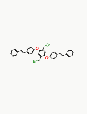 BrCc1cc(Oc2ccc(C=Cc3ccccc3)cc2)c(CBr)cc1Oc1ccc(C=Cc2ccccc2)cc1